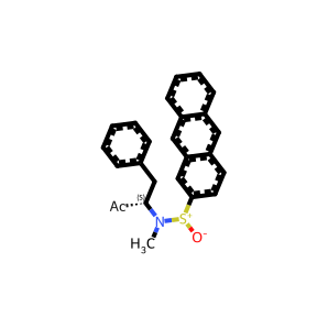 CC(=O)[C@H](Cc1ccccc1)N(C)[S+]([O-])c1ccc2cc3ccccc3cc2c1